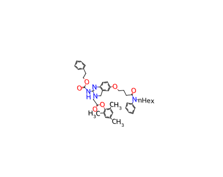 CCCCCCN(C(=O)CCCOc1ccc2c(c1)CN(CC(=O)Oc1c(C)cc(C)cc1C)C(NC(=O)OCCc1ccccc1)=N2)c1ccccc1